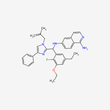 C=C(C)Cn1cc(-c2ccccc2)nc1C(Nc1ccc2c(N)nccc2c1)c1cc(CC)cc(OCC)c1F